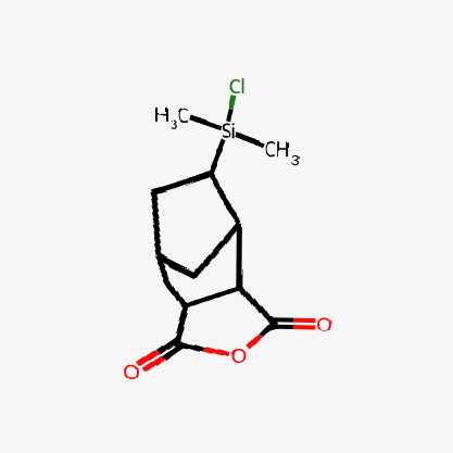 C[Si](C)(Cl)C1CC2CC1C1C(=O)OC(=O)C21